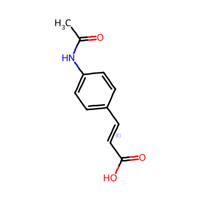 CC(=O)Nc1ccc(/C=C/C(=O)O)cc1